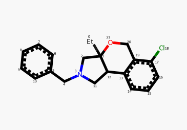 CCC12CN(Cc3ccccc3)CC1c1cccc(Cl)c1CO2